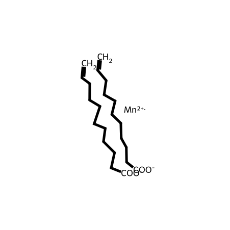 C=CCCCCCCCCC(=O)[O-].C=CCCCCCCCCC(=O)[O-].[Mn+2]